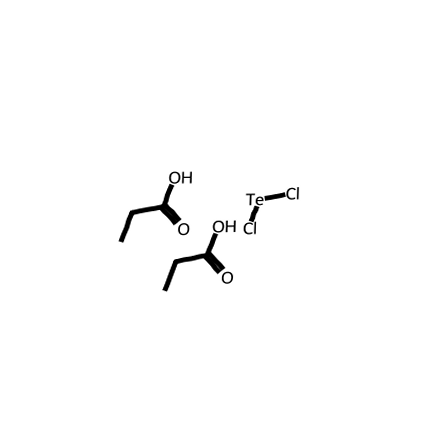 CCC(=O)O.CCC(=O)O.Cl[Te]Cl